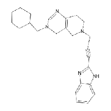 C(#Cc1nc2ccccc2[nH]1)CN1CCC2=C(CN(CC3CCCCC3)C=N2)C1